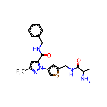 CC(N)C(=O)NCc1cc(-n2nc(C(F)(F)F)cc2C(=O)NCc2ccccc2)cs1